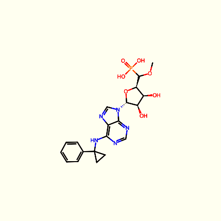 COC([C@@H]1O[C@@H](n2cnc3c(NC4(c5ccccc5)CC4)ncnc32)[C@H](O)[C@@H]1O)P(=O)(O)O